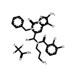 Cc1nn2c(=O)n(Cc3ccccc3)c(C(C(C)C)N(CCCN)C(=O)c3cccc(Cl)c3Cl)cc2c1Cl.O=C(O)C(F)(F)F